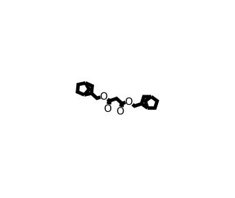 O=C(CC(=O)OCC1CC2CCC1C2)OCC1CC2CCC1C2